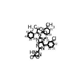 C[C@@H]1OC(=O)N(c2nc3nc(-c4noc(=O)[nH]4)nc(-c4cccc(Cl)c4)c3n2C[C@H]2CC[C@H](C)CC2)[C@@H]1c1ccccc1